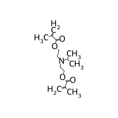 C=C(C)C(=O)OCCN(CCOC(=O)C(=C)C)C(C)C